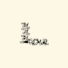 N#CS.O=[As](O)(O)F.O=[As](O)(O)F.O=[As](O)(O)F.O=[As](O)(O)F.O=[As](O)(O)F.O=[As](O)(O)F